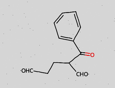 O=[C]CCC([C]=O)C(=O)c1ccccc1